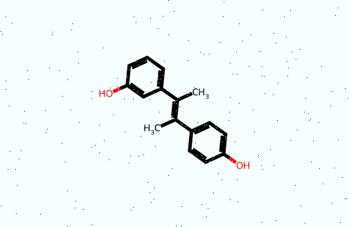 C/C(=C(/C)c1cccc(O)c1)c1ccc(O)cc1